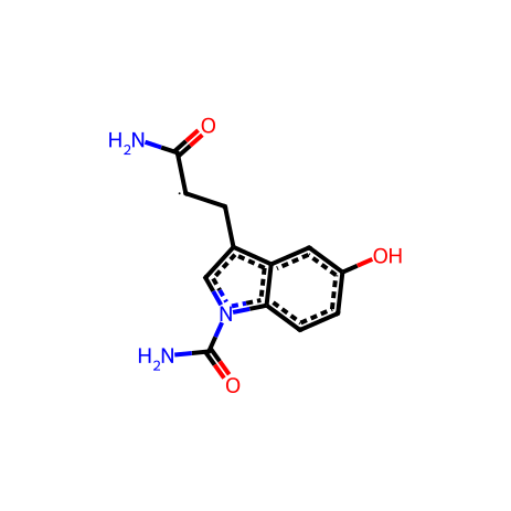 NC(=O)[CH]Cc1cn(C(N)=O)c2ccc(O)cc12